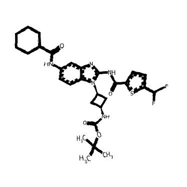 CC(C)(C)OC(=O)N[C@H]1C[C@@H](n2c(NC(=O)c3ccc(C(F)F)s3)nc3cc(NC(=O)C4CCCCC4)ccc32)C1